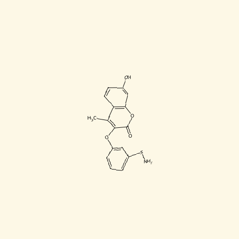 Cc1c(Oc2cccc(SN)c2)c(=O)oc2cc(O)ccc12